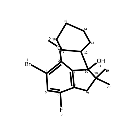 COc1c(Br)cc(F)c2c1C(O)(C1CCCCC1)C(C)(C)C2